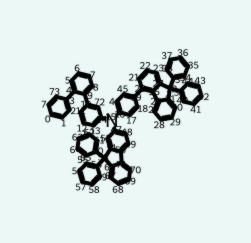 c1ccc(-c2ccccc2-c2cccc(N(c3ccc(-c4cccc5c4-c4ccccc4C5(c4ccccc4)c4ccccc4)cc3)c3ccc4c(c3)C(c3ccccc3)(c3ccccc3)c3ccccc3-4)c2)cc1